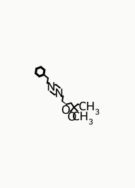 CCC1(CC)C[C@H](CCN2CCN(CCc3ccccc3)CC2)OC1=O